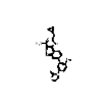 COc1ccc(N2CCOC2=O)cc1-c1ccc2c(NCCC3CC3)c(C(N)=O)nnc2c1